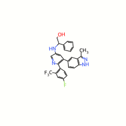 Cc1n[nH]c2ccc(-c3cc(NC(CO)c4ccccc4)cnc3-c3ccc(F)cc3C(F)(F)F)cc12